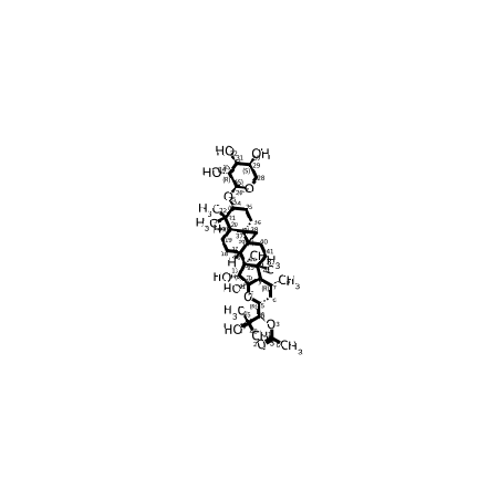 CC(=O)O[C@@H]([C@H]1C[C@@H](C)C2[C@@](O)(O1)[C@H](O)[C@@]1(C)[C@@H]3CC[C@H]4C(C)(C)[C@@H](O[C@@H]5OC[C@H](O)[C@H](O)[C@H]5O)CC[C@@]45C[C@@]35CC[C@]21C)C(C)(C)O